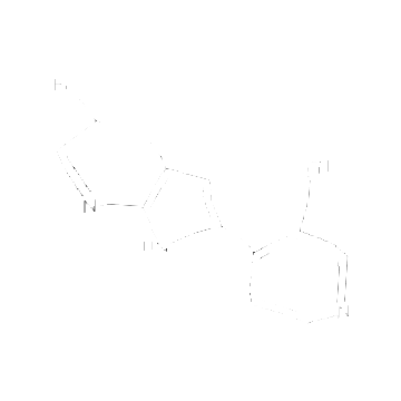 Cc1cnccc1-c1cc2cc(Br)cnc2[nH]1